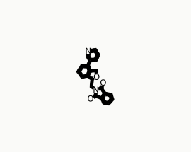 O=C1c2ccccc2C(=O)N1CC1OCc2c(-c3cccnc3)cccc21